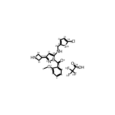 COc1ccccc1C(=O)n1nc(C2CNC2)cc1NCc1ccc(Cl)s1.O=C(O)C(F)(F)F